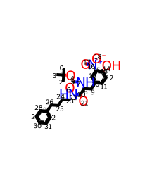 CC(C)(C)OC(=O)NC(Cc1ccc(O)c([N+](=O)[O-])c1)C(=O)NCCCCc1ccccc1